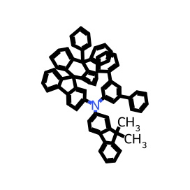 CC1(C)c2ccccc2-c2ccc(N(c3cc(-c4ccccc4)cc(-c4ccccc4)c3)c3ccc4c(c3)C3(c5ccccc5-4)c4ccccc4C(c4ccccc4)(c4ccccc4)c4ccccc43)cc21